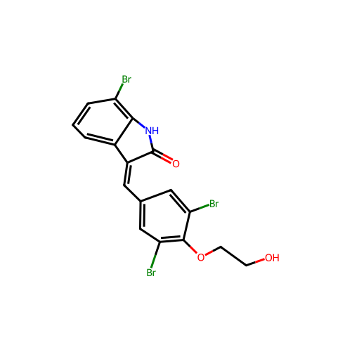 O=C1Nc2c(Br)cccc2C1=Cc1cc(Br)c(OCCO)c(Br)c1